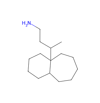 CC(CCN)C12CCCCCC1CCCC2